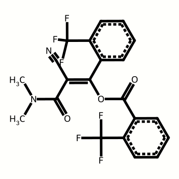 CN(C)C(=O)C(C#N)=C(OC(=O)c1ccccc1C(F)(F)F)c1ccccc1C(F)(F)F